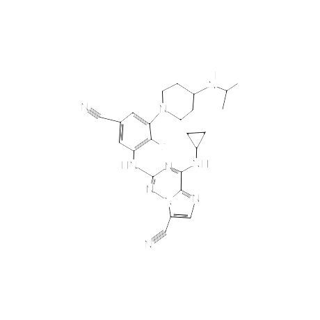 CC(C)NC1CCN(c2cc(C#N)cc(Nc3nc(NC4CC4)c4ncc(C#N)n4n3)c2Cl)CC1